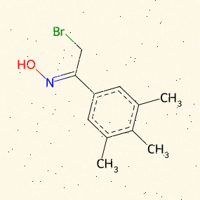 Cc1cc(C(CBr)=NO)cc(C)c1C